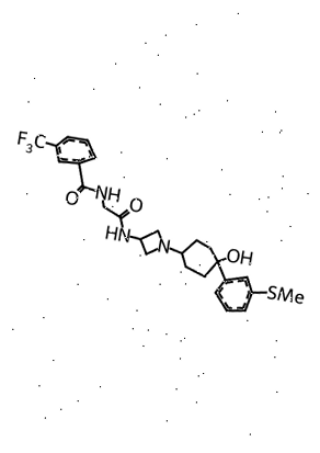 CSc1cccc(C2(O)CCC(N3CC(NC(=O)CNC(=O)c4cccc(C(F)(F)F)c4)C3)CC2)c1